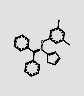 Cc1cc(C)cc([O][Ti]([C]2=CC=CC2)=[C](c2ccccc2)c2ccccc2)c1